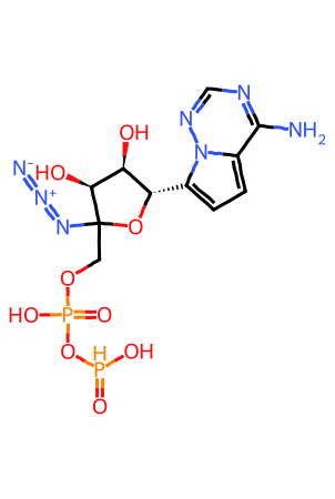 [N-]=[N+]=NC1(COP(=O)(O)O[PH](=O)O)O[C@@H](c2ccc3c(N)ncnn23)[C@H](O)[C@@H]1O